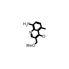 COCc1cnc2c(N)ccc(C)c2c1Cl